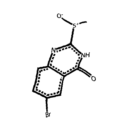 C[S+]([O-])c1nc2ccc(Br)cc2c(=O)[nH]1